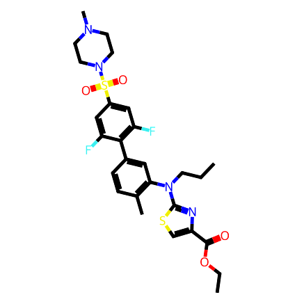 CCCN(c1nc(C(=O)OCC)cs1)c1cc(-c2c(F)cc(S(=O)(=O)N3CCN(C)CC3)cc2F)ccc1C